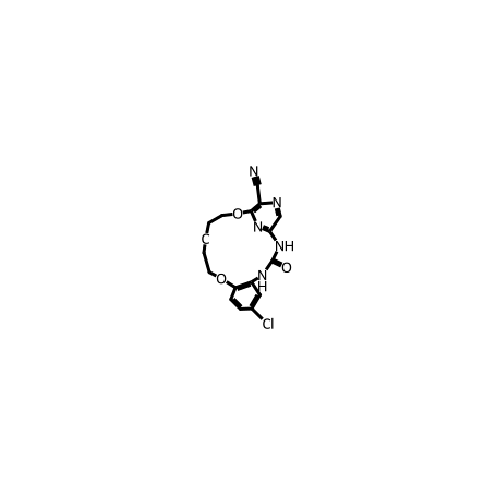 N#Cc1ncc2nc1OCCCCCOc1ccc(Cl)cc1NC(=O)N2